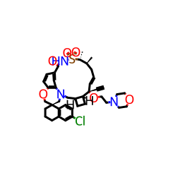 C#C[C@]1(OCCN2CCOCC2)/C=C/C[C@H](C)[C@@H](C)S(=O)(=O)NC(=O)c2ccc3c(c2)N(C[C@@H]2CC[C@H]21)C[C@@]1(CCCc2cc(Cl)ccc21)CO3